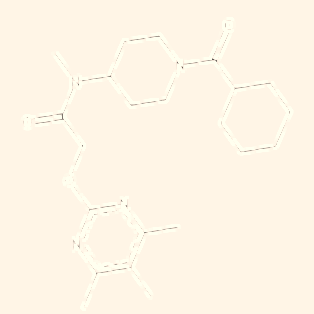 Cc1nc(OCC(=O)N(C)C2CCN(C(=O)C3CCCCC3)CC2)nc(C)c1C